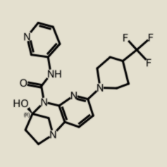 O=C(Nc1cccnc1)N1c2nc(N3CCC(C(F)(F)F)CC3)ccc2N2CC[C@@]1(O)C2